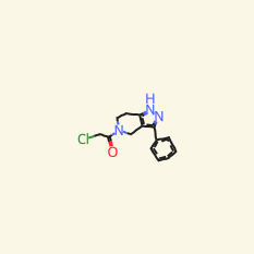 O=C(CCl)N1CCc2[nH]nc(-c3ccccc3)c2C1